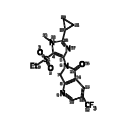 CCS(=O)(=O)c1c(N2Cc3ncc(C(F)(F)F)cc3C2=O)nc(C2CC2)n1C